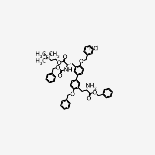 C[Si](C)(C)CCOC(=O)[C@H](Cc1cc(-c2ccc(OCc3ccccc3)c(C[C@H](N)C(=O)OCc3ccccc3)c2)ccc1OCc1ccccc1)NC(=O)OCc1ccccc1.Cl